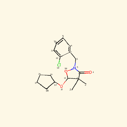 CC1(C)C(=O)N(Cc2ccccc2Cl)OC1OC1CCCC1